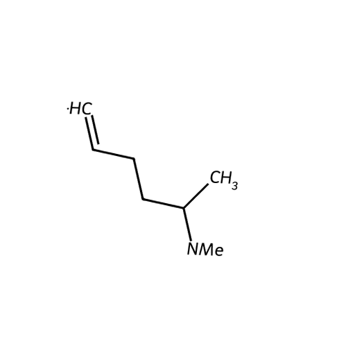 [CH]=CCCC(C)NC